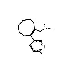 CN(C)C/C1=C(\c2ccc(Cl)nc2)CCCCCC1